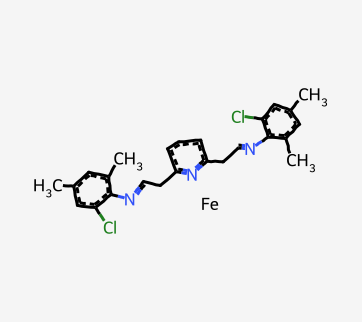 Cc1cc(C)c(N=CCc2cccc(CC=Nc3c(C)cc(C)cc3Cl)n2)c(Cl)c1.[Fe]